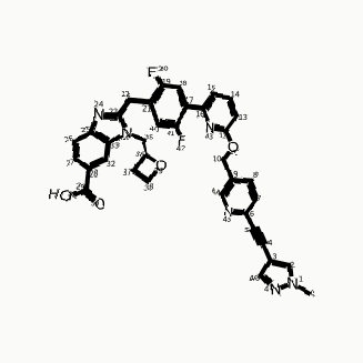 Cn1cc(C#Cc2ccc(COc3cccc(-c4cc(F)c(Cc5nc6ccc(C(=O)O)cc6n5C[C@@H]5CCO5)cc4F)n3)cn2)cn1